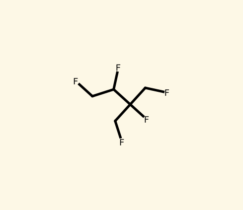 FCC(F)C(F)(CF)CF